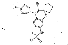 CS(=O)(=O)Nc1ccc2c(c1)OC1(CCCC1)C(Br)=C2c1ccc(F)cc1